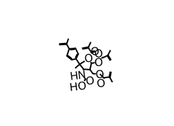 C=C(C)C(=O)OCC(C(OC(=O)C(=C)C)OC(=O)C(=C)C)C(NC(=O)O)C(C)(C)c1ccc(C(=C)C)cc1